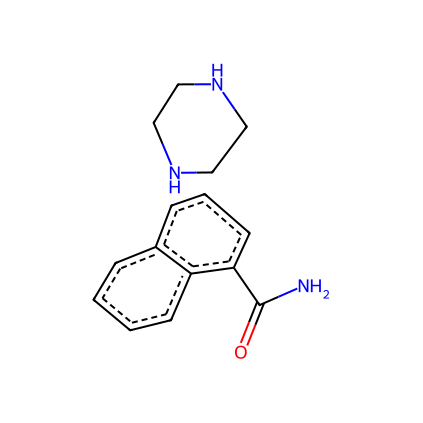 C1CNCCN1.NC(=O)c1cccc2ccccc12